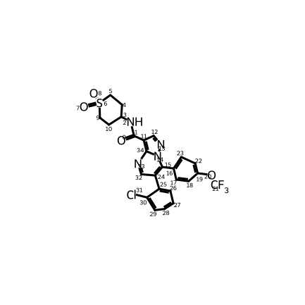 O=C(NC1CCS(=O)(=O)CC1)c1cnn2c(-c3ccc(OC(F)(F)F)cc3)c(-c3ccccc3Cl)cnc12